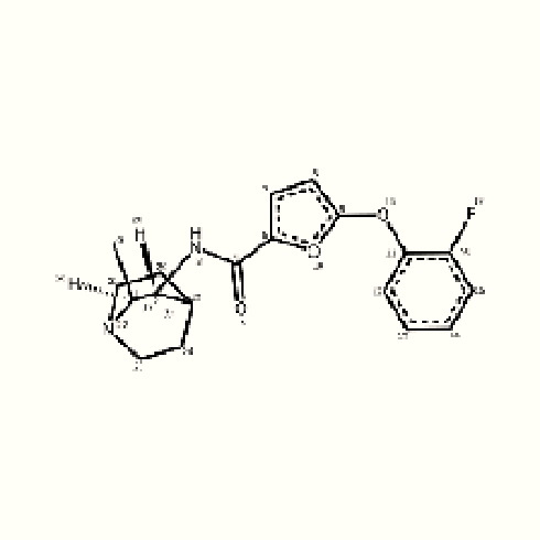 C[C@H]1[C@H](NC(=O)c2ccc(Oc3ccccc3F)o2)C2CCN1CC2